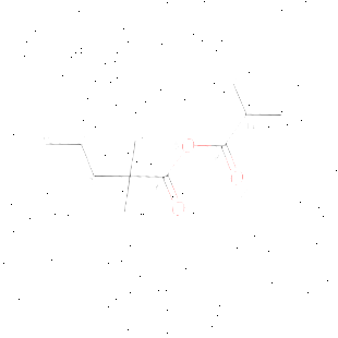 CCCC(C)(C)C(=O)OC(=O)C(C)C